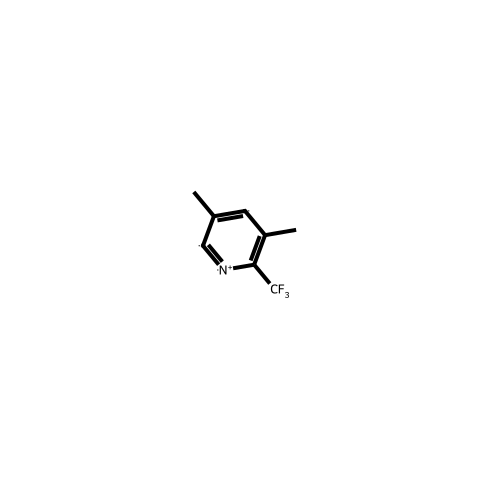 CC1=[C]C(C)=C(C(F)(F)F)[N+]=[C]1